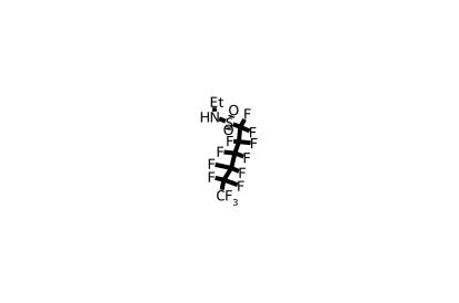 CCNS(=O)(=O)C(F)(F)C(F)(F)C(F)(F)C(F)(F)C(F)(F)C(F)(F)F